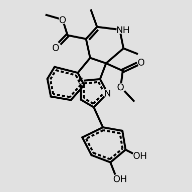 COC(=O)C1=C(C)NC(C)C(C(=O)OC)(c2nc(-c3ccc(O)c(O)c3)cs2)C1c1ccccc1